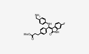 COC(=O)CCc1ccc(C(Nc2ccc(CN)cc2)=C2C(=O)Nc3cc(F)ccc32)cc1